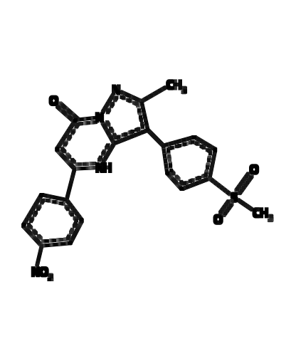 Cc1nn2c(=O)cc(-c3ccc([N+](=O)[O-])cc3)[nH]c2c1-c1ccc(S(C)(=O)=O)cc1